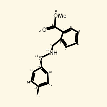 COC(=O)c1ccccc1CNSc1ccc(C)cc1